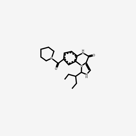 CCC(CC)C1NC=C2C(=O)Nc3ccc(C(=O)N4CCCCC4)cc3N21